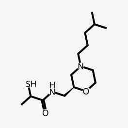 CC(C)CCCN1CCO[C@@H](CNC(=O)C(C)S)C1